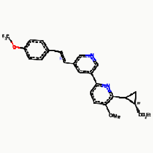 CCOC(=O)[C@@H]1CC1c1nc(-c2cncc(/C=C/c3ccc(OC(F)(F)F)cc3)c2)ccc1OC